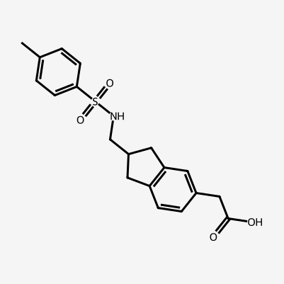 Cc1ccc(S(=O)(=O)NCC2Cc3ccc(CC(=O)O)cc3C2)cc1